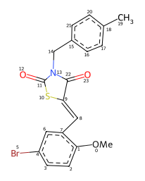 COc1ccc(Br)cc1C=C1SC(=O)N(Cc2ccc(C)cc2)C1=O